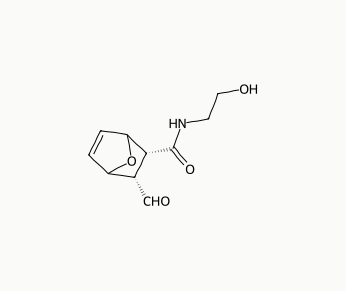 O=C[C@@H]1C2C=CC(O2)[C@@H]1C(=O)NCCO